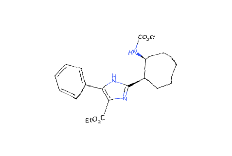 CCOC(=O)N[C@H]1CCCC[C@H]1c1nc(C(=O)OCC)c(-c2ccccc2)[nH]1